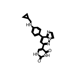 O=c1[nH]cc(-c2cc(-c3ccc(NCC4CC4)cc3)c3nccn3n2)c(=O)[nH]1